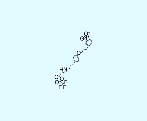 O=C(CCNCCCc1ccc(OCCCc2cccc([N+](=O)[O-])c2)cc1)OC(=O)C(F)(F)F